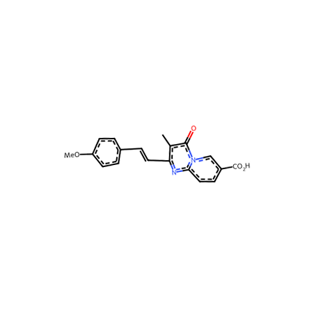 COc1ccc(C=Cc2nc3ccc(C(=O)O)cn3c(=O)c2C)cc1